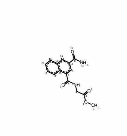 COC(=O)CNC(=O)c1cc(C(N)=O)nc2ccccc12